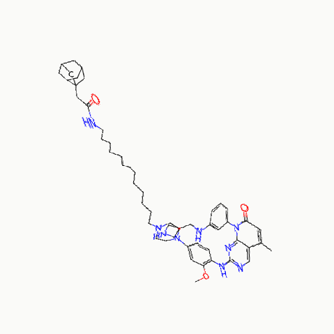 COc1cc(N2CCN(CCCCCCCCCCCCNC(=O)CC34CC5CC(CC3C5)C4)CC2)ccc1Nc1ncc2c(C)cc(=O)n(-c3cccc(NCC4CNC4)c3)c2n1